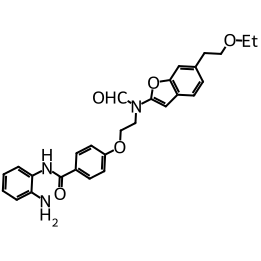 CCOCCc1ccc2cc(N(C=O)CCOc3ccc(C(=O)Nc4ccccc4N)cc3)oc2c1